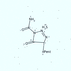 CCCCCC1N=NN(C(N)=O)C1=O.S